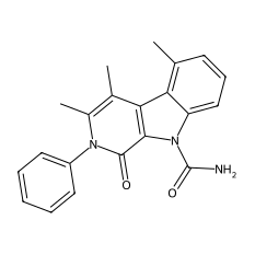 Cc1cccc2c1c1c(C)c(C)n(-c3ccccc3)c(=O)c1n2C(N)=O